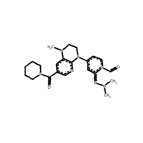 CN(C)/N=c1/cc(N2CCN(C)c3cc(C(=O)N4CCCCC4)cnc32)ccn1C=O